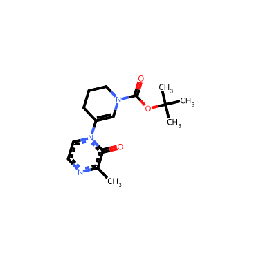 Cc1nccn(C2=CN(C(=O)OC(C)(C)C)CCC2)c1=O